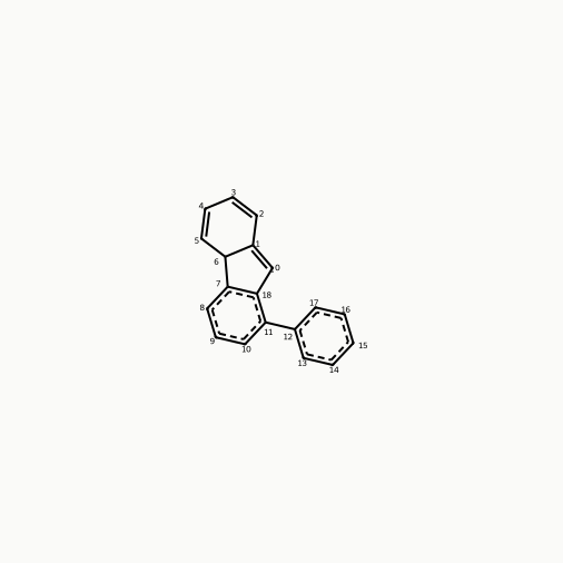 [C]1=C2C=CC=CC2c2cccc(-c3ccccc3)c21